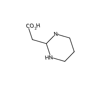 O=C(O)CC1[N]CCCN1